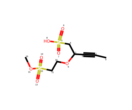 CC#CC(CS(=O)(=O)O)OCCS(=O)(=O)OC